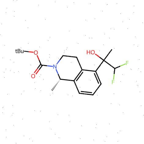 C[C@H]1c2cccc(C(C)(O)C(F)F)c2CCN1C(=O)OC(C)(C)C